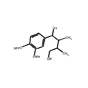 COc1ccc(C(O)C(C)C(C)CO)cc1OC